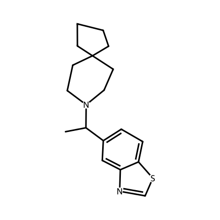 CC(c1ccc2scnc2c1)N1CCC2(CCCC2)CC1